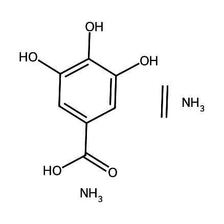 C=C.N.N.O=C(O)c1cc(O)c(O)c(O)c1